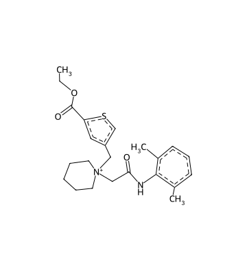 CCOC(=O)c1cc(C[N+]2(CC(=O)Nc3c(C)cccc3C)CCCCC2)cs1